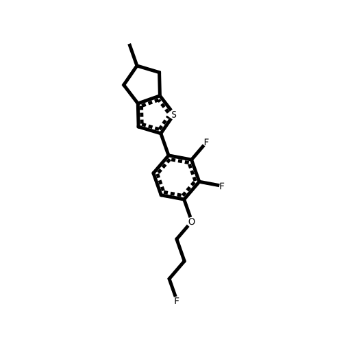 CC1Cc2cc(-c3ccc(OCCCF)c(F)c3F)sc2C1